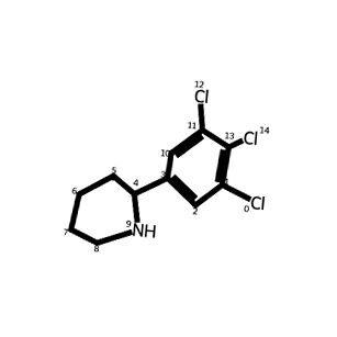 Clc1cc(C2[CH]CCCN2)cc(Cl)c1Cl